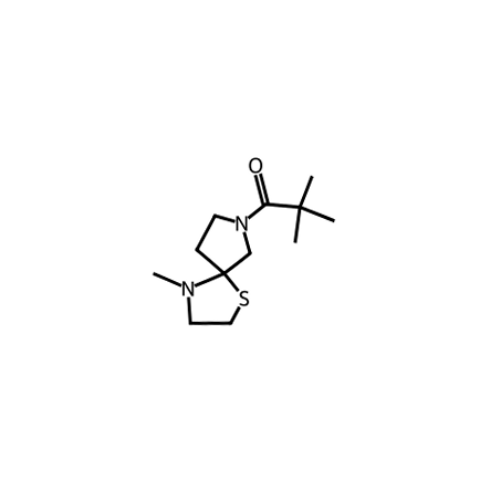 CN1CCSC12CCN(C(=O)C(C)(C)C)C2